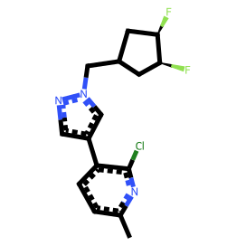 Cc1ccc(-c2cnn(CC3C[C@@H](F)[C@@H](F)C3)c2)c(Cl)n1